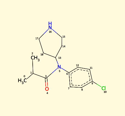 CC(C)C(=O)N(c1ccc(Cl)cc1)C1CCNCC1